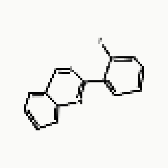 Fc1ccccc1-c1ncc2ccccc2n1